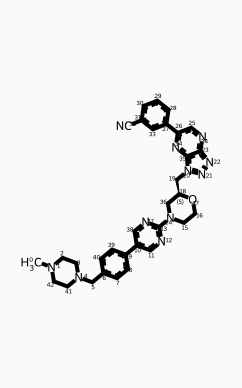 CN1CCN(Cc2ccc(-c3cnc(N4CCO[C@H](Cn5nnc6ncc(-c7cccc(C#N)c7)nc65)C4)nc3)cc2)CC1